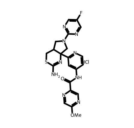 COc1cnc(C(=O)Nc2ccnc(C34CN(c5ncc(F)cn5)CC3CSC(N)=N4)c2)cn1.Cl